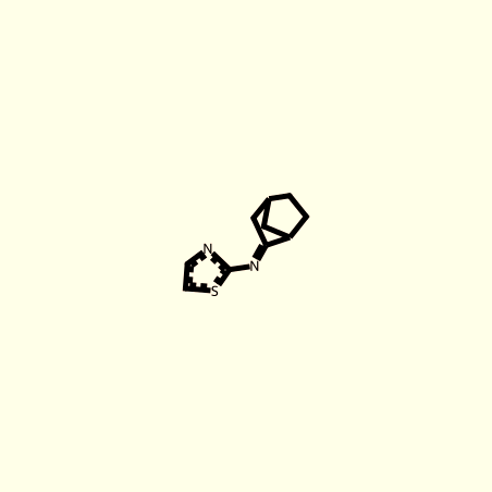 c1csc(N=C2CC3CCC2C3)n1